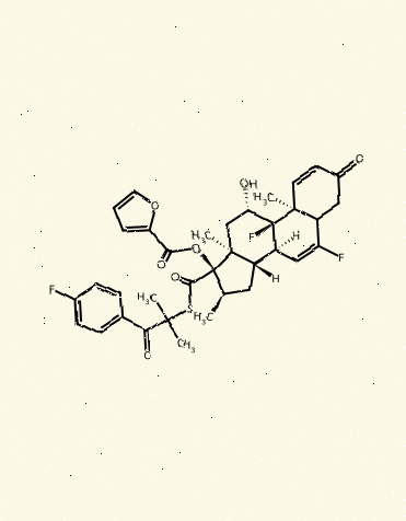 C[C@@H]1C[C@H]2[C@@H]3C=C(F)C4CC(=O)C=C[C@]4(C)[C@@]3(F)[C@@H](O)C[C@]2(C)[C@@]1(OC(=O)c1ccco1)C(=O)SC(C)(C)C(=O)c1ccc(F)cc1